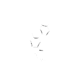 CONC(=O)c1ccc(Cl)c(-c2ccc(Cl)cc2)c1